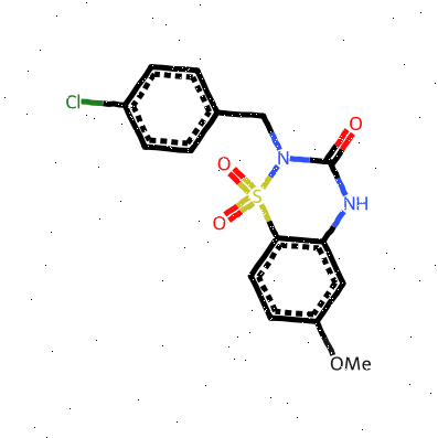 COc1ccc2c(c1)NC(=O)N(Cc1ccc(Cl)cc1)S2(=O)=O